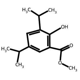 COC(=O)c1cc(C(C)C)cc(C(C)C)c1O